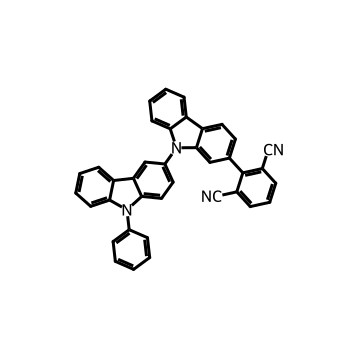 N#Cc1cccc(C#N)c1-c1ccc2c3ccccc3n(-c3ccc4c(c3)c3ccccc3n4-c3ccccc3)c2c1